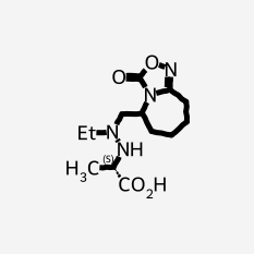 CCN(CC1CCCCc2noc(=O)n21)N[C@@H](C)C(=O)O